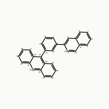 c1cc(-c2cc3ccccc3cn2)cc(-c2c3ccccc3nc3ccccc23)c1